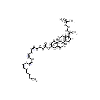 CCCCC/C=C\C/C=C\C/C=C\C/C=C\CCCC(=O)OC1CC[C@@]2(C)C(=CC[C@H]3[C@@H]4CC[C@H]([C@H](C)CCCC(C)C)[C@@]4(C)CC[C@@H]32)C1